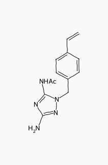 C=Cc1ccc(Cn2nc(N)nc2NC(C)=O)cc1